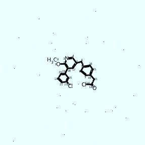 COc1ncc(Cc2ccc(CC(=O)Cl)cc2)cc1-c1cccc(Cl)c1